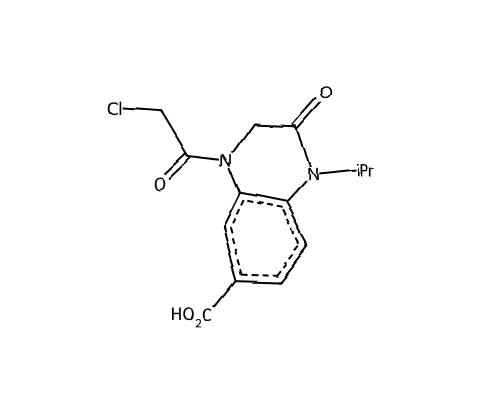 CC(C)N1C(=O)CN(C(=O)CCl)c2cc(C(=O)O)ccc21